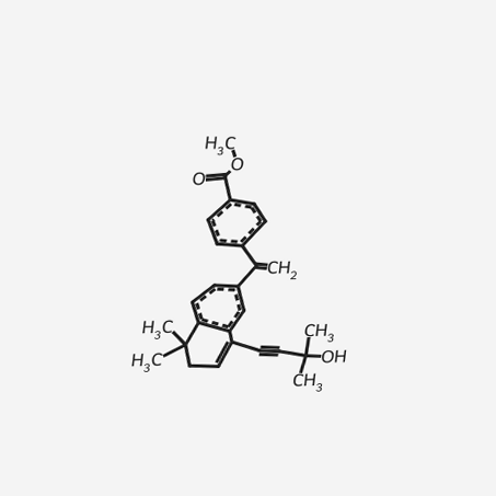 C=C(c1ccc(C(=O)OC)cc1)c1ccc2c(c1)C(C#CC(C)(C)O)=CCC2(C)C